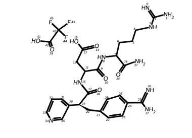 N=C(N)NCCCC(NC(=O)C(CC(=O)O)NC(=O)[C@@H](Cc1ccc(C(=N)N)cc1)c1cccnc1)C(N)=O.O=C(O)C(F)(F)F